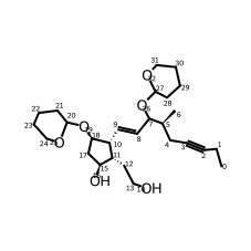 CCC#CC[C@H](C)C(/C=C/[C@@H]1[C@H](CCO)[C@@H](O)C[C@H]1OC1CCCCO1)OC1CCCCO1